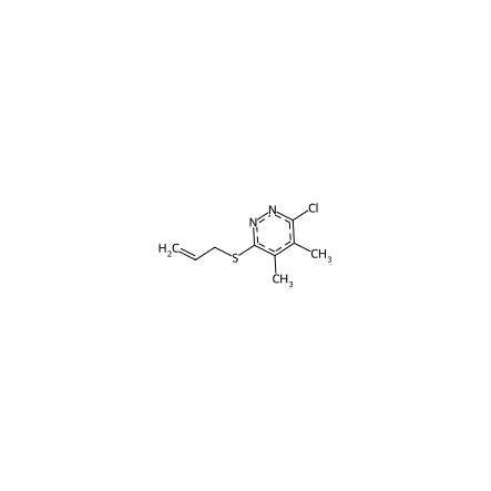 C=CCSc1nnc(Cl)c(C)c1C